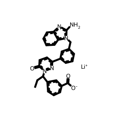 CCC(c1cccc(C(=O)[O-])c1)n1nc(-c2cccc(Cn3c(N)nc4ccccc43)c2)ccc1=O.[Li+]